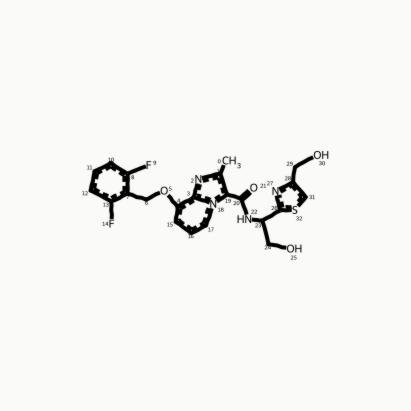 Cc1nc2c(OCc3c(F)cccc3F)cccn2c1C(=O)NC(CO)c1nc(CO)cs1